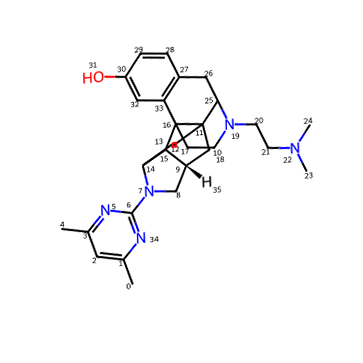 Cc1cc(C)nc(N2C[C@H]3CC45CCC2C3C42CCN(CCN(C)C)C5Cc3ccc(O)cc32)n1